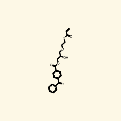 C=CC(=O)OCCOCC(O)COC(=O)c1ccc(C(=O)c2ccccc2)cc1